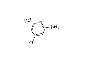 Cl.Nc1cc(Cl)ccn1